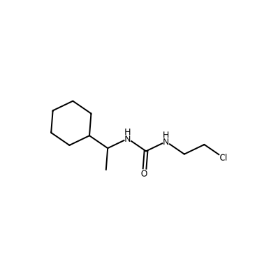 CC(NC(=O)NCCCl)C1CCCCC1